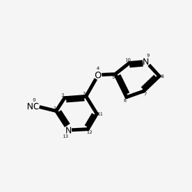 N#Cc1cc(Oc2cccnc2)ccn1